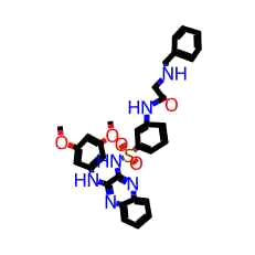 COc1cc(Nc2nc3ccccc3nc2NS(=O)(=O)c2cccc(NC(=O)CNCc3ccccc3)c2)cc(OC)c1